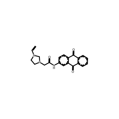 C=CN1CCN(CC(=O)Nc2ccc3c(c2)C(=O)c2ccccc2C3=O)C1